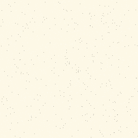 CC1CCCCN1c1nc2ccccc2o1